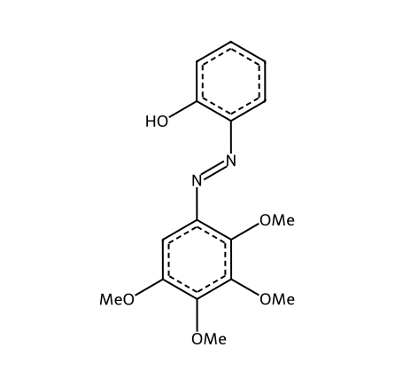 COc1cc(N=Nc2ccccc2O)c(OC)c(OC)c1OC